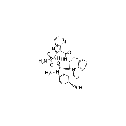 C#Cc1ccc2c3c(c([C@@H](C)NC(=O)c4c(NS(N)(=O)=O)nn5cccnc45)n(-c4ccccc4)c(=O)c13)C(=O)N2C